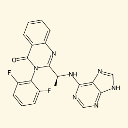 C[C@H](Nc1ncnc2[nH]cnc12)c1nc2ccccc2c(=O)n1-c1c(F)cccc1F